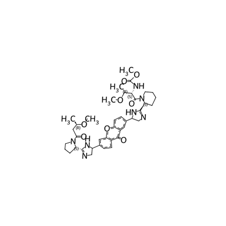 COC(=O)N[C@H](C(=O)N1CCCC[C@H]1C1=NCC(c2ccc3oc4cc(C5CN=C([C@@H]6CCCN6C(=O)C[C@@H](C)OC)N5)ccc4c(=O)c3c2)N1)[C@@H](C)OC